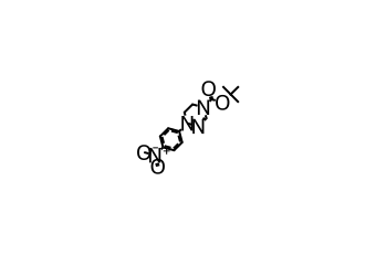 CC(C)(C)OC(=O)N1C=NN(c2ccc([N+](=O)[O-])cc2)CC1